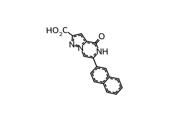 O=C(O)c1cc2c(=O)[nH]c(-c3ccc4ccccc4c3)cn2n1